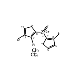 [CH2]=[Zr+2]([C]1=C(C)C=CC1)[C]1=C(C)C(C)=CC1.[Cl-].[Cl-]